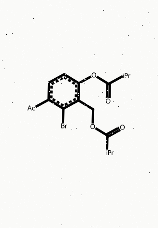 CC(=O)c1ccc(OC(=O)C(C)C)c(COC(=O)C(C)C)c1Br